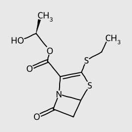 CCSC1=C(C(=O)O[C@H](C)O)N2C(=O)CC2S1